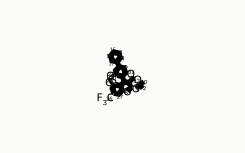 CC1(C)OC(=O)C(=C2c3ccc(-c4ccccc4)cc3S(=O)(=O)c3cc(C(F)(F)F)ccc32)C(=O)O1